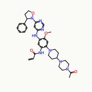 C=CC(=O)Nc1cc(Nc2cc(N3OCCC3c3ccccc3)ncn2)c(OC)cc1N1CCC(N2CCN(C(C)=O)CC2)CC1